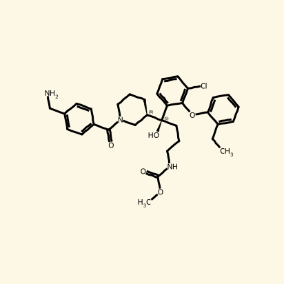 CCc1ccccc1Oc1c(Cl)cccc1[C@](O)(CCCNC(=O)OC)[C@@H]1CCCN(C(=O)c2ccc(CN)cc2)C1